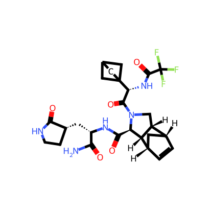 NC(=O)[C@H](C[C@@H]1CCNC1=O)NC(=O)[C@@H]1[C@@H]2[C@H](CN1C(=O)[C@@H](NC(=O)C(F)(F)F)C13CC(C1)C3)[C@@H]1C=C[C@H]2C1